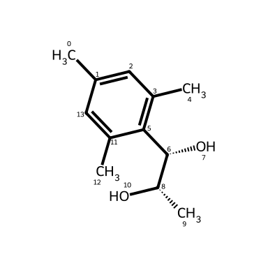 Cc1cc(C)c([C@H](O)[C@H](C)O)c(C)c1